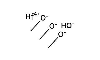 C[O-].C[O-].C[O-].[Hf+4].[OH-]